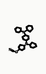 N#COc1ccc(N(c2ccccc2)c2ccc(N(c3ccccc3)c3ccccc3)cc2)cc1